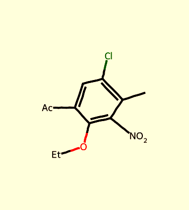 CCOc1c(C(C)=O)cc(Cl)c(C)c1[N+](=O)[O-]